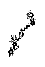 C=CC(=O)Nc1cc2c(Nc3ccc(F)c(Cl)c3)ncnc2cc1OCCCN1CCN(C(=O)CCCCCSc2cccc3c2C(=O)N(C2CCC(=O)NC2=O)C3=O)CC1